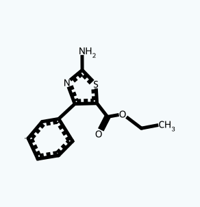 CCOC(=O)c1sc(N)nc1-c1c[c]ccc1